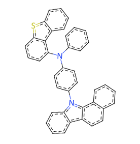 c1ccc(N(c2ccc(-n3c4ccccc4c4ccc5ccccc5c43)cc2)c2cccc3sc4ccccc4c23)cc1